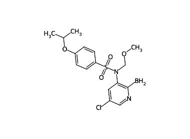 Bc1ncc(Cl)cc1N(COC)S(=O)(=O)c1ccc(OC(C)C)cc1